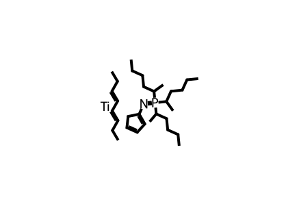 CCC=CC=CCC.CCCCC(C)P(=NC1=CC=CC1)(C(C)CCCC)C(C)CCCC.[Ti]